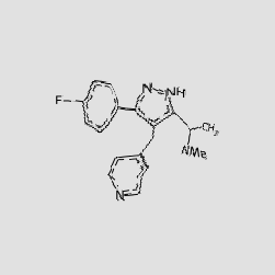 CNC(C)c1[nH]nc(-c2ccc(F)cc2)c1-c1ccncc1